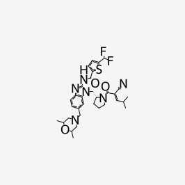 CC(C)/C=C(\C#N)C(=O)N1CCC[C@@H]1Cn1c(NC(=O)c2ccc(C(F)F)s2)nc2ccc(CN3CC(C)OC(C)C3)cc21